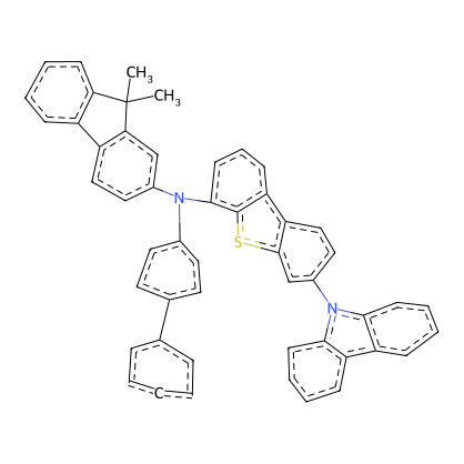 CC1(C)c2ccccc2-c2ccc(N(c3ccc(-c4ccccc4)cc3)c3cccc4c3sc3cc(-n5c6ccccc6c6ccccc65)ccc34)cc21